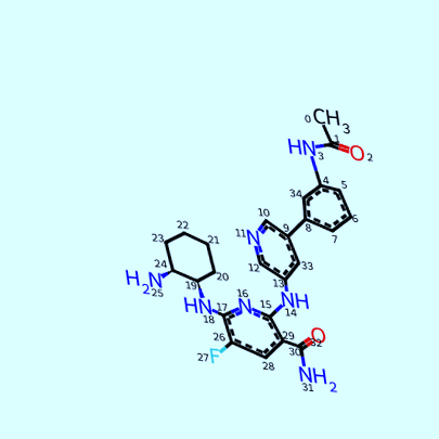 CC(=O)Nc1cccc(-c2cncc(Nc3nc(N[C@@H]4CCCC[C@@H]4N)c(F)cc3C(N)=O)c2)c1